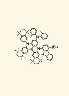 Cc1ccccc1N(c1cc2c3c(c1)N(c1ccc(C(C)(C)C)c4c1C(C)(C)c1ccccc1-4)c1cc4c(cc1B3c1cc3c(cc1N2c1ccc2c(c1)C(C)(C)CCC2(C)C)C(C)(C)CCC3(C)C)C(C)(C)CCC4(C)C)c1ccccc1C